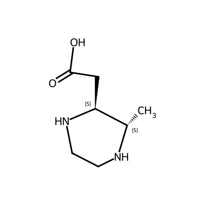 C[C@@H]1NCCN[C@H]1CC(=O)O